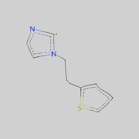 [c]1nccn1CCc1cccs1